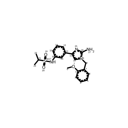 COc1ccccc1Cn1cc(-c2cccc(NS(=O)(=O)C(C)C)c2)nc1N